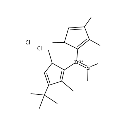 CC1=CC(C)[C]([Zr+2]([C]2=C(C)C(C(C)(C)C)=CC2C)=[Si](C)C)=C1C.[Cl-].[Cl-]